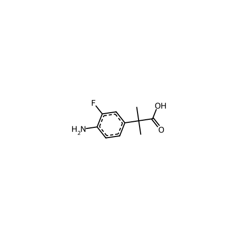 CC(C)(C(=O)O)c1ccc(N)c(F)c1